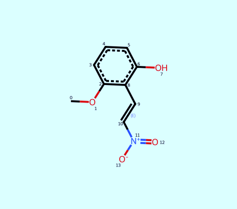 COc1cccc(O)c1/C=C/[N+](=O)[O-]